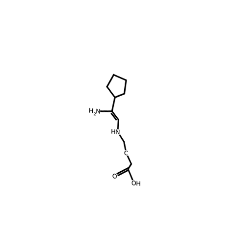 N/C(=C\NCCCC(=O)O)C1CCCC1